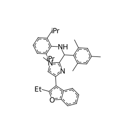 CCc1oc2ccccc2c1-c1cn(C)c(C(Nc2c(C(C)C)cccc2C(C)C)c2c(C)cc(C)cc2C)n1